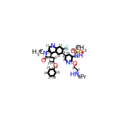 CC(C)NCCOc1ncc(-c2cc3c(cc2F)ncc2c3[C@]3(C[C@@H](Oc4ccccc4)C3)C(=O)N2C)cc1NS(C)(=O)=O